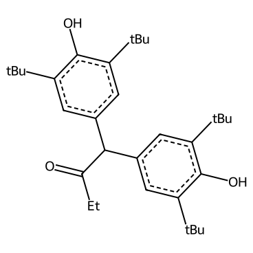 CCC(=O)C(c1cc(C(C)(C)C)c(O)c(C(C)(C)C)c1)c1cc(C(C)(C)C)c(O)c(C(C)(C)C)c1